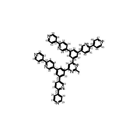 Cc1nc(-c2cc(-c3ccc(-c4ccncc4)nc3)cc(-c3ccc(-c4ccncc4)nc3)c2)cc(-c2cc(-c3ccc(-c4ccncc4)nc3)cc(-c3ccc(-c4ccncc4)nc3)c2)n1